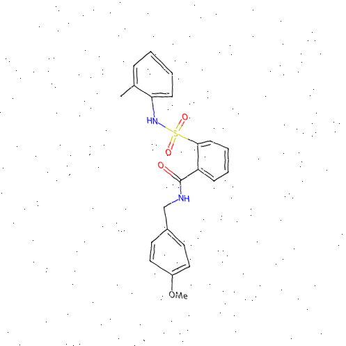 COc1ccc(CNC(=O)c2ccccc2S(=O)(=O)Nc2ccccc2C)cc1